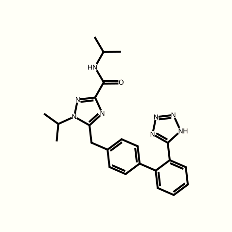 CC(C)NC(=O)c1nc(Cc2ccc(-c3ccccc3-c3nnn[nH]3)cc2)n(C(C)C)n1